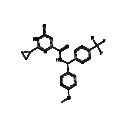 COc1ccc(C(NC(=O)c2cc(=O)[nH]c(C3CC3)n2)c2ccc(C(F)(F)F)cc2)cc1